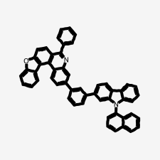 c1ccc(-c2nc3cc(-c4cccc(-c5ccc6c7ccccc7n(-c7cccc8ccccc78)c6c5)c4)ccc3c3c2ccc2oc4ccccc4c23)cc1